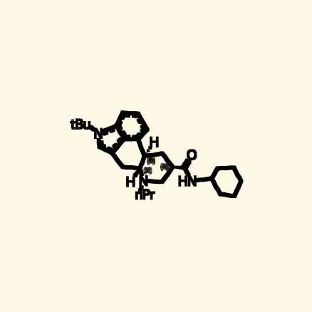 CCCN1C[C@H](C(=O)NC2CCCCC2)C[C@@H]2c3cccc4c3c(cn4C(C)(C)C)C[C@H]21